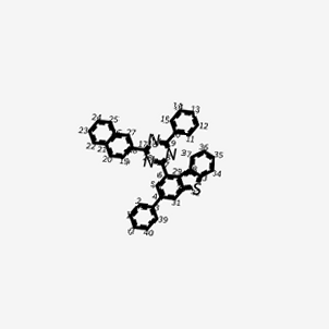 c1ccc(-c2cc(-c3nc(-c4ccccc4)nc(-c4ccc5ccccc5c4)n3)c3c(c2)sc2ccccc23)cc1